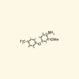 COc1cc(Oc2ccc(C(F)(F)F)cc2)ccc1N